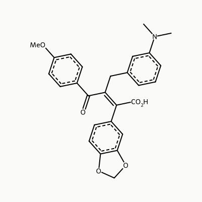 COc1ccc(C(=O)C(Cc2cccc(N(C)C)c2)=C(C(=O)O)c2ccc3c(c2)OCO3)cc1